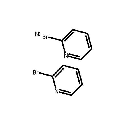 Brc1ccccn1.Brc1ccccn1.[N]